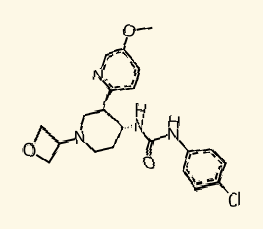 COc1ccc([C@@H]2CN(C3COC3)CC[C@H]2NC(=O)Nc2ccc(Cl)cc2)nc1